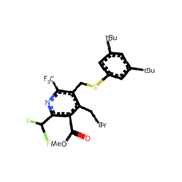 COC(=O)c1c(C(F)F)nc(C(F)(F)F)c(CSc2cc(C(C)(C)C)cc(C(C)(C)C)c2)c1CC(C)C